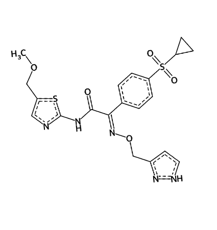 COCc1cnc(NC(=O)/C(=N/OCc2cc[nH]n2)c2ccc(S(=O)(=O)C3CC3)cc2)s1